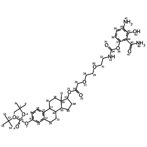 CC(C)(C)OP(=O)(Oc1ccc2c(c1)CCC1C2CCC2(C)C(OC(=O)COCCOCCNC(=O)Oc3ccc(N)c(O)c3C(N)=O)CCC12)OC(C)(C)C